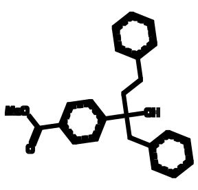 COC(=O)c1ccc(C(O)(CCc2ccccc2)Cc2ccccc2)cc1